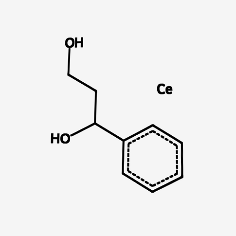 OCCC(O)c1ccccc1.[Ce]